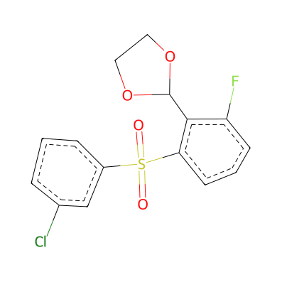 O=S(=O)(c1cccc(Cl)c1)c1cccc(F)c1C1OCCO1